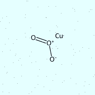 O=[O+][O-].[Cu]